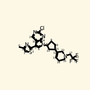 Cc1csc(-c2cn(C3CCC(C4=CCCN(CC(F)(F)F)C4)C3)c3nc(Cl)ncc23)n1